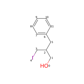 OCC(CI)Cc1ccccc1